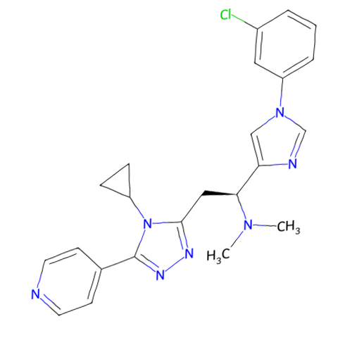 CN(C)[C@@H](Cc1nnc(-c2ccncc2)n1C1CC1)c1cn(-c2cccc(Cl)c2)cn1